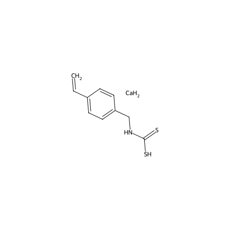 C=Cc1ccc(CNC(=S)S)cc1.[CaH2]